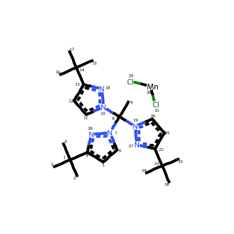 CC(C)(C)c1ccn(C(C)(n2ccc(C(C)(C)C)n2)n2ccc(C(C)(C)C)n2)n1.[Cl][Mn][Cl]